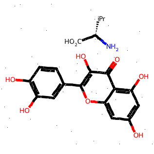 CC(C)[C@H](N)C(=O)O.O=c1c(O)c(-c2ccc(O)c(O)c2)oc2cc(O)cc(O)c12